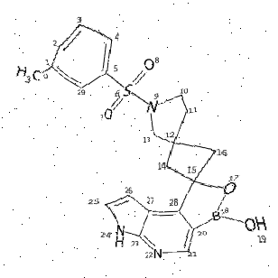 Cc1cccc(S(=O)(=O)N2CCC3(C2)CC2(C3)OB(O)c3cnc4[nH]ccc4c32)c1